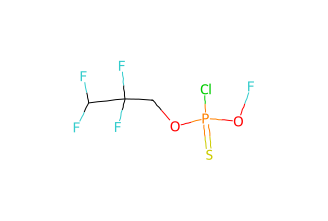 FOP(=S)(Cl)OCC(F)(F)C(F)F